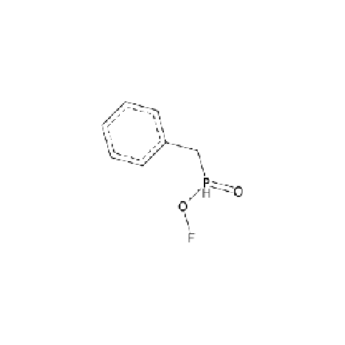 O=[PH](Cc1ccccc1)OF